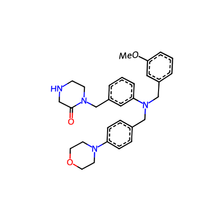 COc1cccc(CN(Cc2ccc(N3CCOCC3)cc2)c2cccc(CN3CCNCC3=O)c2)c1